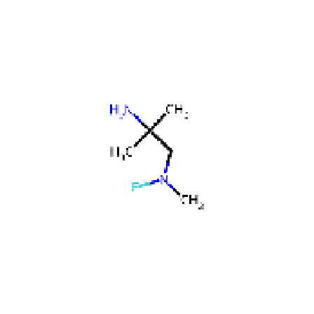 CN(F)CC(C)(C)N